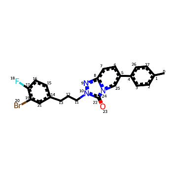 Cc1ccc(-c2ccc3nn(CCCc4ccc(F)c(Br)c4)c(=O)n3c2)cc1